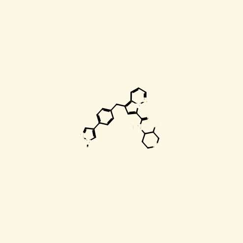 Cn1cc(-c2ccc(Cc3cc(C(=O)NC4CCOCC4O)n4ncccc34)cc2)cn1